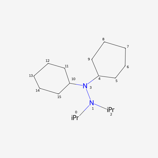 CC(C)N(C(C)C)N(C1CCCCC1)C1CCCCC1